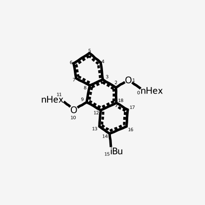 CCCCCCOc1c2ccccc2c(OCCCCCC)c2cc(C(C)CC)ccc12